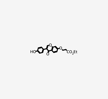 CCOC(=O)CCOc1ccc2c(=O)c(-c3ccc(O)cc3)coc2c1